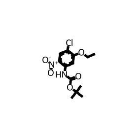 CCOc1cc(NC(=O)OC(C)(C)C)c([N+](=O)[O-])cc1Cl